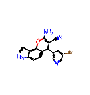 N#CC1=C(N)Oc2c(ccc3[nH]ccc23)C1c1cncc(Br)c1